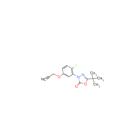 C#CCOc1ccc(F)c(-n2nc(C(C)(C)C)oc2=O)c1